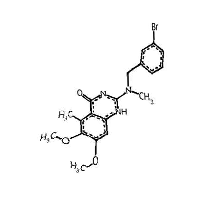 COc1cc2[nH]c(N(C)Cc3cccc(Br)c3)nc(=O)c2c(C)c1OC